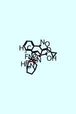 Cc1cc(C(=O)O)nc(N2C3CC[C@H]2CC(OCc2c(-c4ccccc4OC(F)(F)F)noc2C2CC2)C3)n1